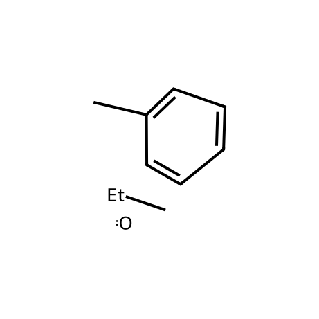 CCC.Cc1ccccc1.[O]